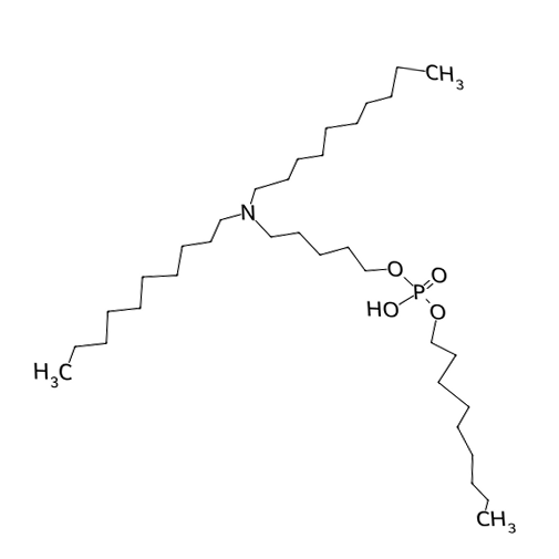 CCCCCCCCCCN(CCCCCCCCCC)CCCCCOP(=O)(O)OCCCCCCCCC